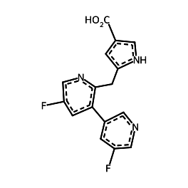 O=C(O)c1c[nH]c(Cc2ncc(F)cc2-c2cncc(F)c2)c1